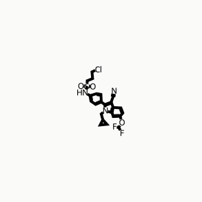 N#Cc1c(-c2ccc(NS(=O)(=O)CCCCl)cc2)n(CC2CC2)c2cc(OC(F)F)ccc12